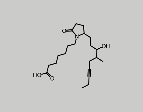 CCC#CCC(C)C(O)CCC1CCC(=O)N1CCCCCCC(=O)O